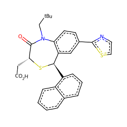 CC(C)(C)CN1C(=O)[C@@H](CC(=O)O)S[C@H](c2cccc3ccccc23)c2cc(-c3nccs3)ccc21